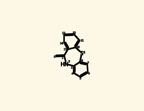 C=C1Nc2ccccc2Sc2ccccc21